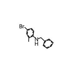 Cc1cc(Br)ccc1NCc1ccccc1